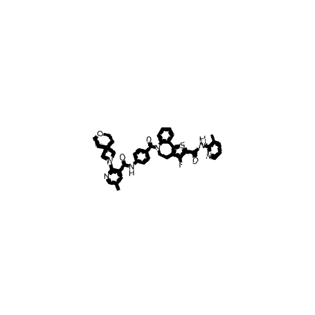 Cc1cnc(N2CC3(CCOCC3)C2)c(C(=O)Nc2ccc(C(=O)N3CCc4c(sc(C(=O)Nc5ncccc5C)c4F)-c4ccccc43)cc2)c1